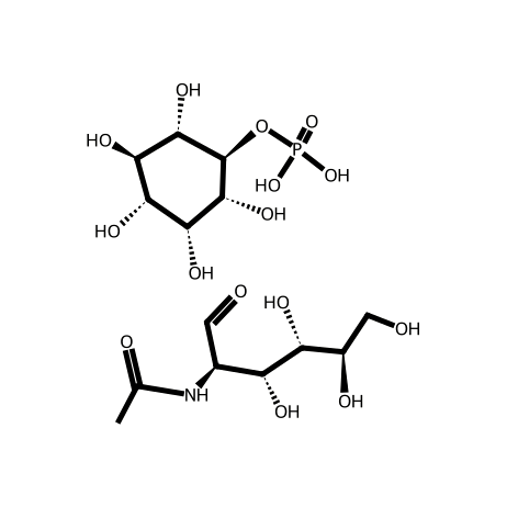 CC(=O)N[C@@H](C=O)[C@@H](O)[C@H](O)[C@H](O)CO.O=P(O)(O)O[C@H]1[C@H](O)[C@H](O)[C@H](O)[C@@H](O)[C@@H]1O